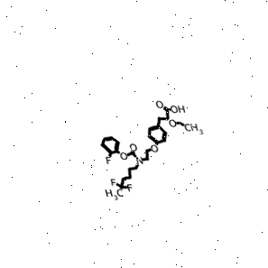 CCOC(Cc1ccc(OCCN(CCCCC(C)(F)F)C(=O)Oc2ccccc2F)cc1)C(=O)O